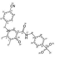 Cc1c(C)n(Cc2ccc(C#N)cc2)cc(C(=O)NCc2ccc(S(C)(=O)=O)cc2)c1=O